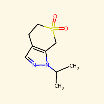 CC(C)n1ncc2c1CS(=O)(=O)CC2